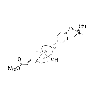 COC(=O)C=C[C@H]1CC[C@]2(O)C[C@@H](c3ccc(O[Si](C)(C)C(C)(C)C)cc3)CC[C@]12C